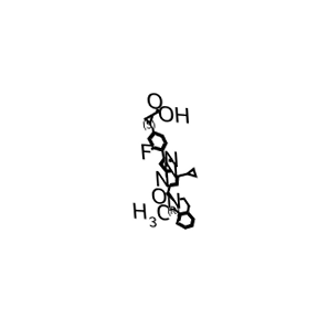 C[C@@H]1c2ccccc2CCN1C(=O)c1cc(C2CC2)n2nc(-c3ccc([C@H]4CC4C(=O)O)cc3F)cc2n1